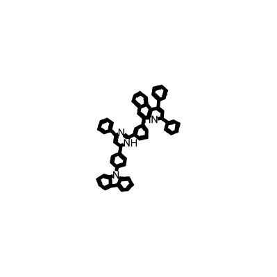 C1=C(c2ccccc2)N=C(c2cccc(-c3cc4ccccc4c4c3NC(c3ccccc3)C=C4c3ccccc3)c2)NC1c1ccc(-n2c3ccccc3c3ccccc32)cc1